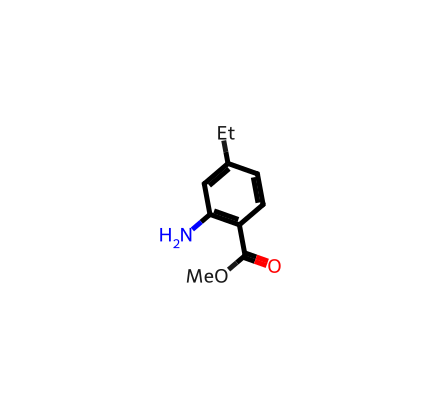 CCc1ccc(C(=O)OC)c(N)c1